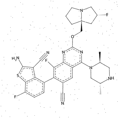 C[C@@H]1CN(c2nc(OC[C@@]34CCCN3C[C@H](F)C4)nc3c(F)c(-c4ccc(F)c5sc(N)c(C#N)c45)c(C#N)cc23)[C@@H](C)CN1